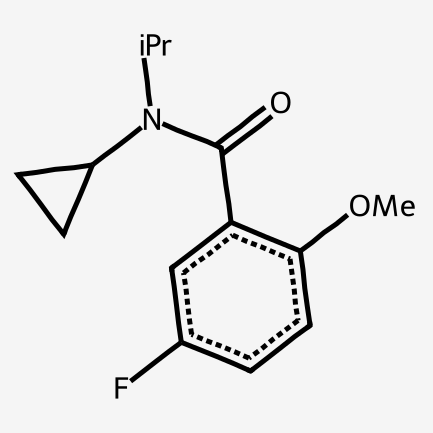 COc1ccc(F)cc1C(=O)N(C(C)C)C1CC1